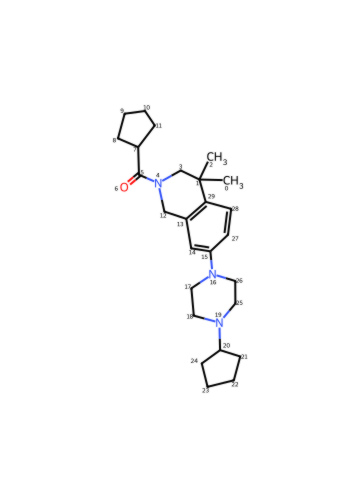 CC1(C)CN(C(=O)C2CCCC2)Cc2cc(N3CCN(C4CCCC4)CC3)ccc21